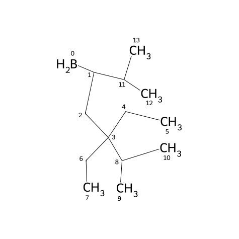 BC(CC(CC)(CC)C(C)C)C(C)C